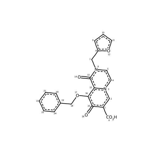 O=C(O)c1cn2ccn(Cc3ccco3)c(=O)c2c(OCc2ccccc2)c1=O